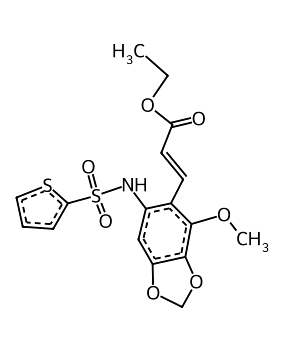 CCOC(=O)/C=C/c1c(NS(=O)(=O)c2cccs2)cc2c(c1OC)OCO2